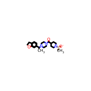 CC(c1ccc2c(c1)OCC2)N1CCN(C(=O)C2CCN([S+](C)[O-])CC2)CC1